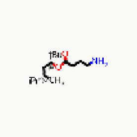 CC(C)[C@@H](C)C[C@@H](OC(=O)CCCN)C(C)(C)C